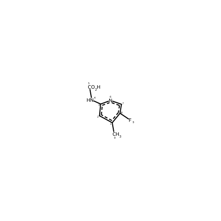 Cc1cc(NC(=O)O)ncc1F